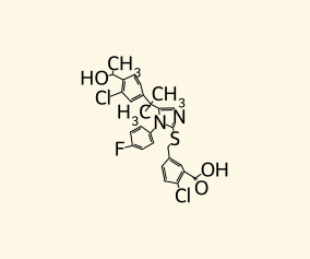 CC(O)c1ccc(C(C)(C)c2cnc(SCc3ccc(Cl)c(C(=O)O)c3)n2-c2ccc(F)cc2)cc1Cl